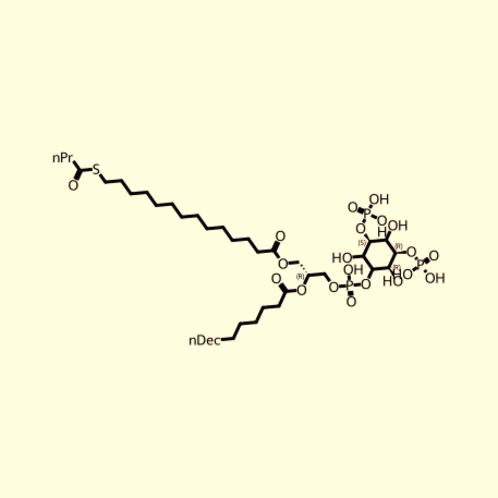 CCCCCCCCCCCCCCCC(=O)O[C@H](COC(=O)CCCCCCCCCCCCCSC(=O)CCC)COP(=O)(O)OC1C(O)[C@@H](OP(=O)(O)O)C(O)[C@@H](OP(=O)(O)O)[C@H]1O